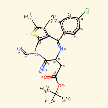 Cc1sc2c(c1C)C(c1ccc(Cl)cc1)=N[C@@H](CC(=O)OC(C)(C)C)C(=N)N2C=N